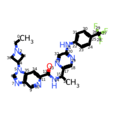 CCN1CC(n2cnc3cnc(C(=O)NC(C)c4cnc(Nc5ccc(C(F)(F)F)cc5)cn4)cc32)C1